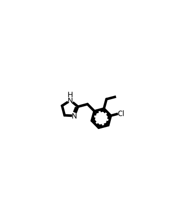 CCc1c(Cl)cccc1CC1=NCCN1